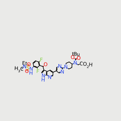 CCN(C)S(=O)(=O)Nc1ccc(F)c(C(=O)c2c[nH]c3ncc(-c4cnc(N5CCC(N(CC(=O)O)C(=O)OC(C)(C)C)CC5)nc4)cc23)c1F